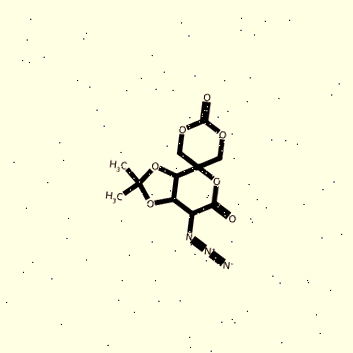 CC1(C)OC2C(N=[N+]=[N-])C(=O)OC3(COC(=O)OC3)C2O1